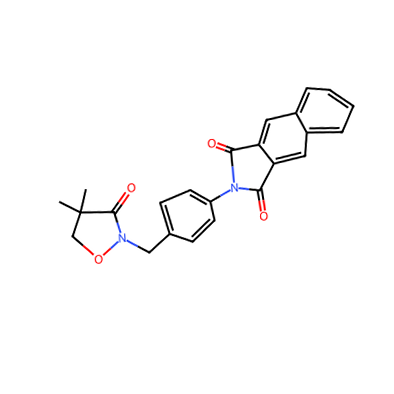 CC1(C)CON(Cc2ccc(N3C(=O)c4cc5ccccc5cc4C3=O)cc2)C1=O